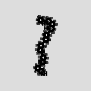 C1=Cc2c(cccc2-c2ccc3ccc(-c4ccc5ccc(-c6ccc7cc(C8C=Cc9ccc%10c(c9N8)NC(c8ccccc8)C=C%10)ccc7c6)cc5n4)cc3n2)CN1